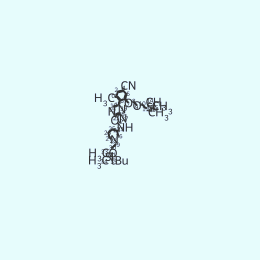 Cc1cc(C#N)cc(OCOCC[Si](C)(C)C)c1-c1cnc2oc(N[C@@H]3CCCN(CCO[Si](C)(C)C(C)(C)C)C3)nc2n1